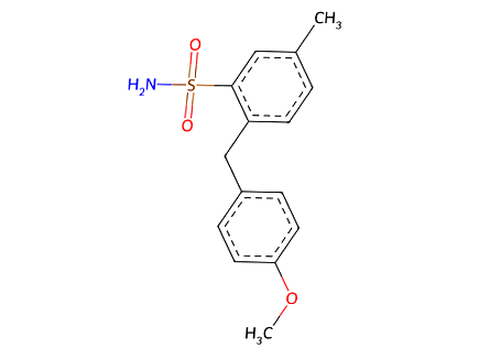 COc1ccc(Cc2ccc(C)cc2S(N)(=O)=O)cc1